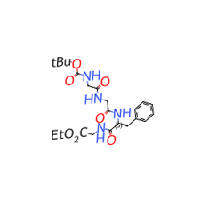 CCOC(=O)CNC(=O)[C@H](Cc1ccccc1)NC(=O)CNC(=O)CNC(=O)OC(C)(C)C